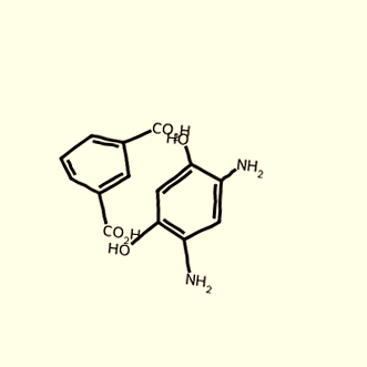 Nc1cc(N)c(O)cc1O.O=C(O)c1cccc(C(=O)O)c1